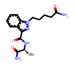 CC(C)(C)[C@H](NC(=O)c1nn(CCCCC(N)=O)c2ccccc12)C(N)=O